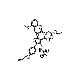 C=CCOc1ccc(-c2sc3c(c2CNS(C)(=O)=O)c(=O)n(CC(=O)OCC)c(=O)n3Cc2ccccc2SC)cc1